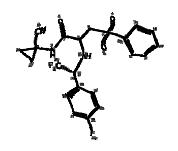 N#CC1(NC(=O)C(CS(=O)(=O)c2ccccc2)N[C@H](c2ccc(F)cc2)C(F)(F)F)CC1